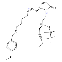 CCC#CC[C@@H](C/C=C1/C(=O)C=C[C@@H]1C/C=C\CCCCOCc1ccc(OC)cc1)O[Si](C)(C)C(C)(C)C